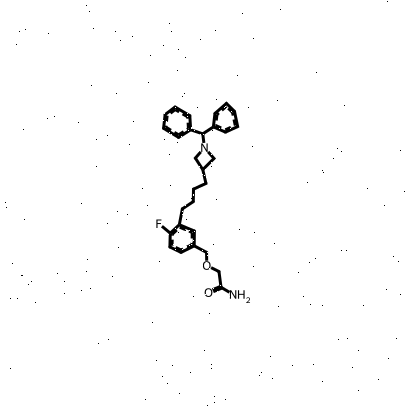 NC(=O)COCc1ccc(F)c(CCCCC2CN(C(c3ccccc3)c3ccccc3)C2)c1